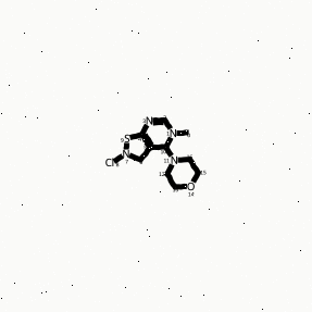 CN1C=NC2=C(CN(Cl)S2)C1N1CCOCC1